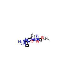 CCCCc1nc2c(N)nc3ccccc3c2n1CCOCCNC(=O)Nc1cccc(OC)c1